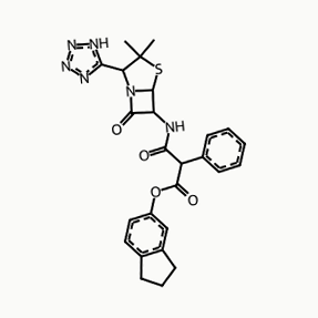 CC1(C)SC2C(NC(=O)C(C(=O)Oc3ccc4c(c3)CCC4)c3ccccc3)C(=O)N2C1c1nnn[nH]1